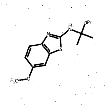 CCCC(C)(C)Nc1nc2ccc(OC(F)(F)F)cc2s1